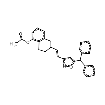 CC(=O)Oc1cccc2c1CCC(C=Cc1cc(C(c3ccccc3)c3ccccc3)on1)C2